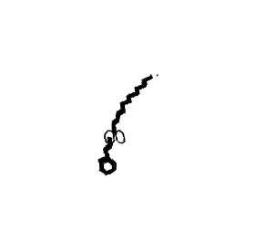 [CH2]CCCCCCCCCCCC(=O)OCCC1CCCCC1